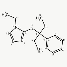 CCn1nnnc1SC(CC)(CC)c1ccccc1